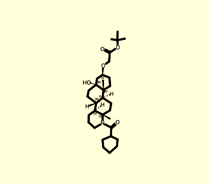 CC(C)(C)OC(=O)CO[C@H]1CC[C@]2(C)[C@H]3CC[C@@]4(C)[C@@H](CCCN4C(=O)C4CCCCC4)[C@@H]3CC[C@@]2(O)C1